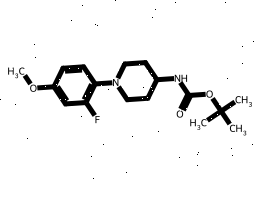 COc1ccc(N2CCC(NC(=O)OC(C)(C)C)CC2)c(F)c1